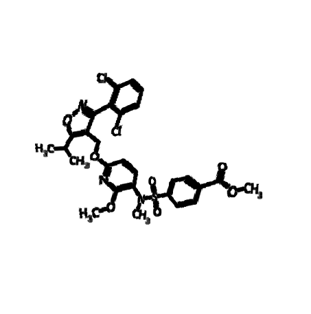 COC(=O)c1ccc(S(=O)(=O)N(C)c2ccc(OCc3c(-c4c(Cl)cccc4Cl)noc3C(C)C)nc2OC)cc1